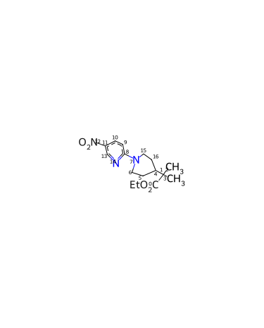 CCOC(=O)C(C)(C)C1CCN(c2ccc([N+](=O)[O-])cn2)CC1